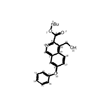 CCCCOC(=O)c1ncc2cc(Oc3ccccc3)ccc2c1CO